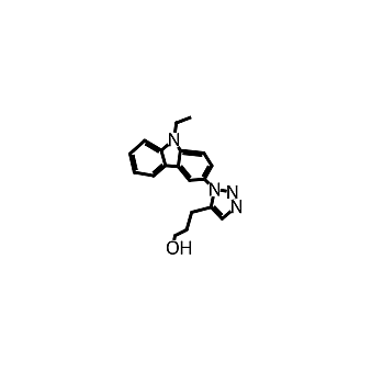 CCn1c2ccccc2c2cc(-n3nncc3CCCO)ccc21